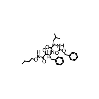 CCCCONC(=O)C(=O)[C@H](Cc1ccccc1)NC(=O)[C@H](CC(C)C)NC(=O)OCc1ccccc1